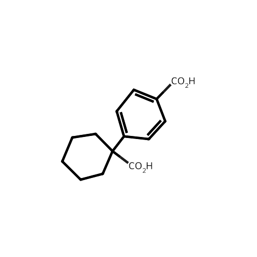 O=C(O)c1ccc(C2(C(=O)O)CCCCC2)cc1